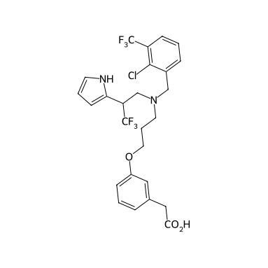 O=C(O)Cc1cccc(OCCCN(Cc2cccc(C(F)(F)F)c2Cl)CC(c2ccc[nH]2)C(F)(F)F)c1